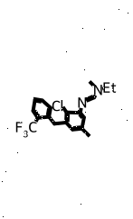 CCN(C)C=Nc1cc(C)cc(Cc2ccccc2C(F)(F)F)c1Cl